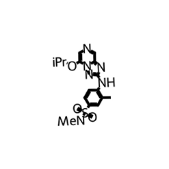 CNS(=O)(=O)c1ccc(Nc2nc3cncc(OC(C)C)n3n2)c(C)c1